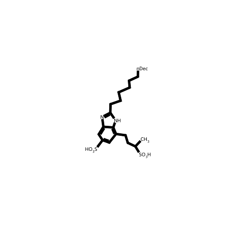 CCCCCCCCCCCCCCCCc1nc2cc(S(=O)(=O)O)cc(CCC(C)S(=O)(=O)O)c2[nH]1